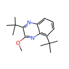 COc1nc2c(C(C)(C)C)cccc2nc1C(C)(C)C